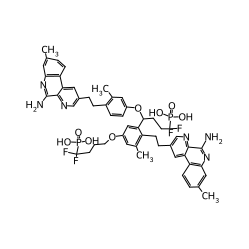 Cc1ccc2c(c1)nc(N)c1ncc(CCc3ccc(OC(CCC(F)(F)P(=O)(O)O)c4cc(OCCCC(F)(F)P(=O)(O)O)cc(C)c4CCc4cnc5c(N)nc6cc(C)ccc6c5c4)cc3C)cc12